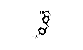 Cc1ccc(Sc2ccc3[nH]cnc3c2)cc1